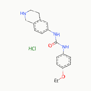 CCOc1ccc(NC(=O)Nc2ccc3c(c2)CCNC3)cc1.Cl